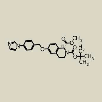 COC(=O)[C@H]1c2ccc(OCc3ccc(-n4ccnc4)cc3)cc2CCN1C(=O)OC(C)(C)C